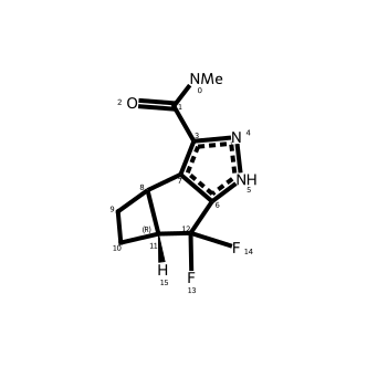 CNC(=O)c1n[nH]c2c1C1CC[C@H]1C2(F)F